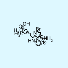 CC1(C)C[C@H](CCC(Nc2cccc(S(N)(=O)=O)n2)c2cccc(Br)n2)CN1C(=O)O